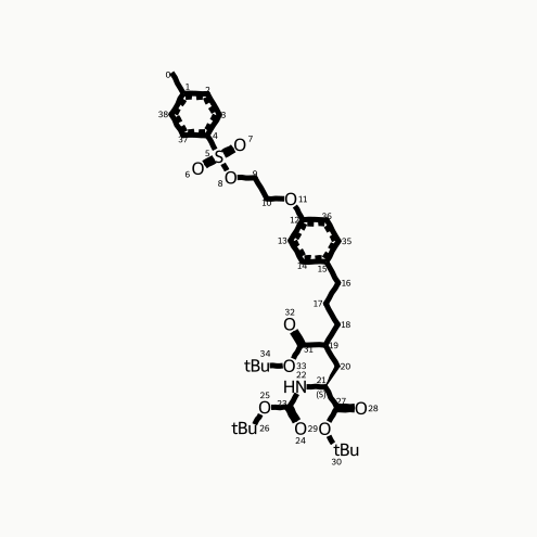 Cc1ccc(S(=O)(=O)OCCOc2ccc(CCCC(C[C@H](NC(=O)OC(C)(C)C)C(=O)OC(C)(C)C)C(=O)OC(C)(C)C)cc2)cc1